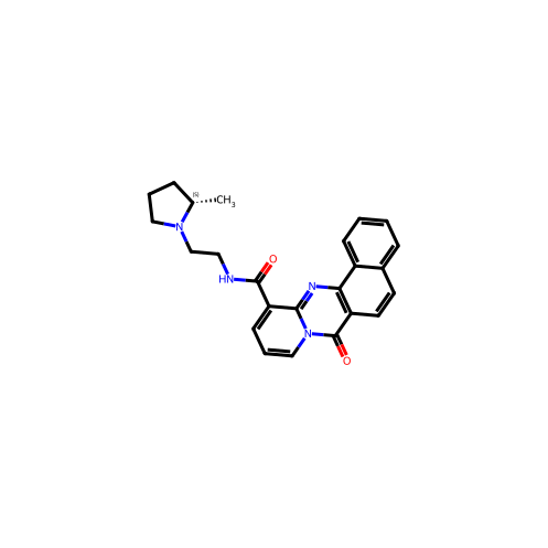 C[C@H]1CCCN1CCNC(=O)c1cccn2c(=O)c3ccc4ccccc4c3nc12